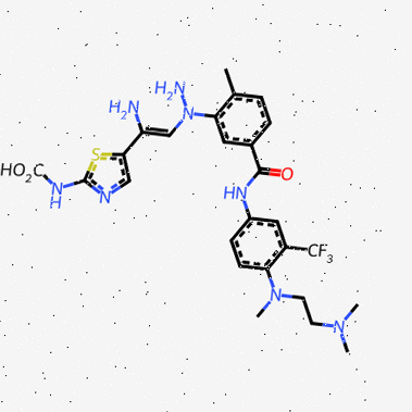 Cc1ccc(C(=O)Nc2ccc(N(C)CCN(C)C)c(C(F)(F)F)c2)cc1N(N)/C=C(\N)c1cnc(NC(=O)O)s1